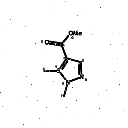 COC(=O)C1=S(C)N(C)N=C1